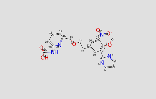 COc1c(-c2ncccn2)cc(CCOCc2cccc(NC(=O)O)n2)cc1[N+](=O)[O-]